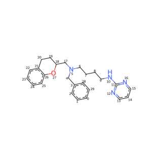 c1ccc(CN(CCCCNc2ncccn2)CC2CCc3ccccc3O2)cc1